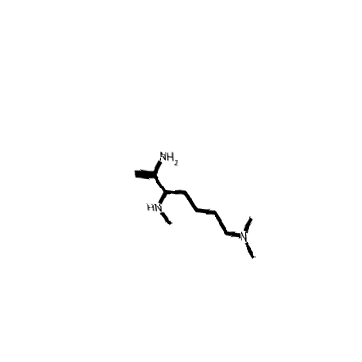 C=C(N)C(CCCCN(C)C)NC